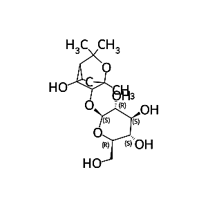 CC1(C)OC2(C)CC(O)C1CC2O[C@@H]1O[C@H](CO)[C@@H](O)[C@H](O)[C@H]1O